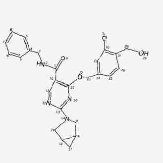 O=C(NCc1ccccc1)c1cnc(N2CC3CC3C2)nc1OCc1ccc(CO)c(Cl)c1